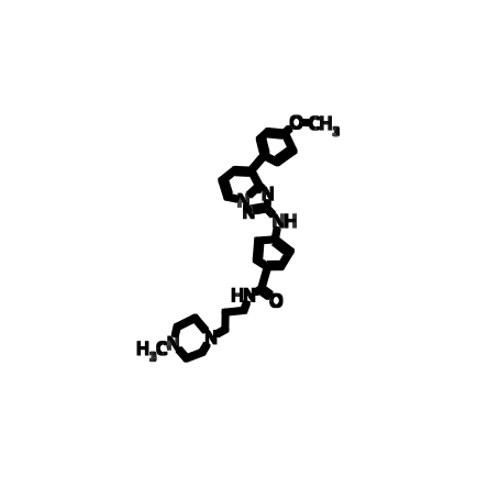 COc1ccc(-c2cccn3nc(Nc4ccc(C(=O)NCCCN5CCN(C)CC5)cc4)nc23)cc1